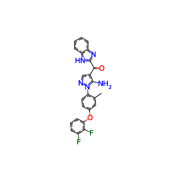 Cc1cc(Oc2cccc(F)c2F)ccc1-n1ncc(C(=O)c2nc3ccccc3[nH]2)c1N